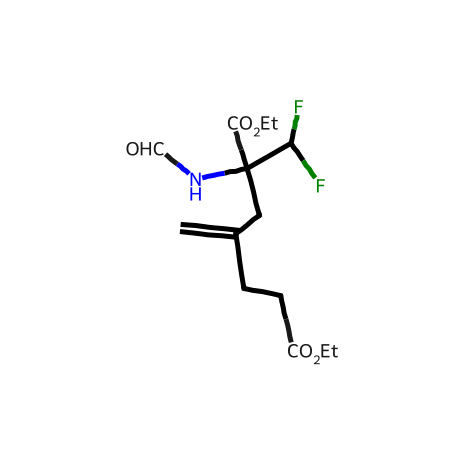 C=C(CCC(=O)OCC)CC(NC=O)(C(=O)OCC)C(F)F